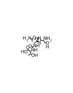 CC(O)[C@@H](NC(=O)N[C@H](CC(N)=O)c1nc([C@@H](N)CO)no1)C(=O)O